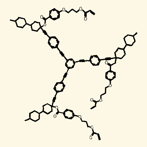 C=CC(=O)OCCCOc1ccc(C(=O)CC2(C#Cc3ccc(C#Cc4cc(C#Cc5ccc(C#CC6(OC(=O)c7ccc(OCCCOC(=O)C=C)cc7)CCC(C7CCC(C)CC7)CC6)cc5)cc(C#Cc5ccc(C#CC6(OC(=O)c7ccc(OCCCOC(=O)C=C)cc7)CCC(C7CCC(C)CC7)CC6)cc5)c4)cc3)CCC(C3CCC(C)CC3)CC2)cc1